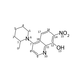 CC1CCCCN1c1ccnc2c(O)c([N+](=O)[O-])ccc12